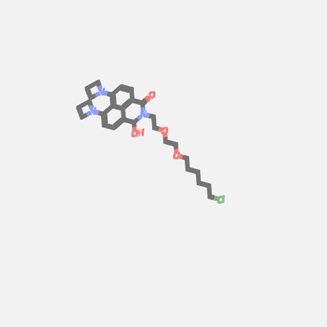 O=C1c2ccc(N3CCC3)c3c(N4CCC4)ccc(c23)C(O)N1CCOCCOCCCCCCCl